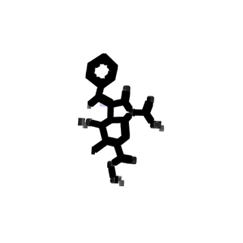 COC(=O)C1=C(I)C(C)C2C(=C1)N(C(C)=O)C(=O)/C2=C(/I)c1ccccc1